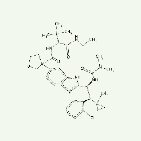 CCNC(=O)[C@H](NC(=O)C1(c2ccc3nc([C@@H](NC(=O)N(C)C)[C@H](c4ccccc4Cl)C4(C)CC4)[nH]c3c2)CCOC1)C(C)(C)C